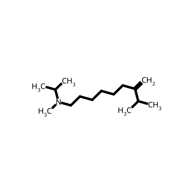 C=C(CCCCCCN(C)C(C)C)C(C)C